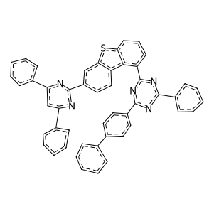 c1ccc(-c2ccc(-c3nc(-c4ccccc4)nc(-c4cccc5sc6cc(-c7nc(-c8ccccc8)cc(-c8ccccc8)n7)ccc6c45)n3)cc2)cc1